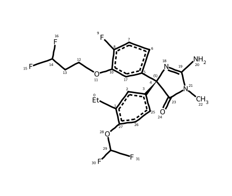 CCc1cc([C@@]2(c3ccc(F)c(OCCC(F)F)c3)N=C(N)N(C)C2=O)ccc1OC(F)F